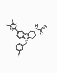 Cc1nc(-c2ccc3c(c2)c2c(n3Cc3cccc(F)c3)CC[C@@H](NC(=O)C(C)C)C2)sc1C